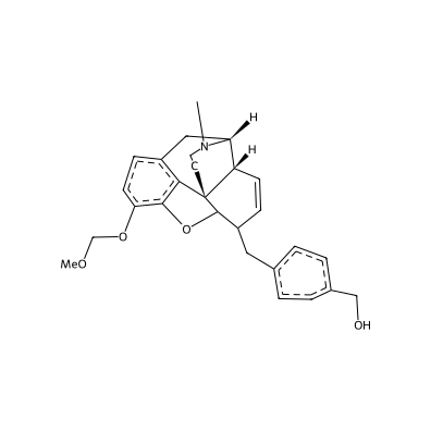 COCOc1ccc2c3c1OC1C(Cc4ccc(CO)cc4)C=C[C@H]4[C@@H](C2)N(C)CC[C@]314